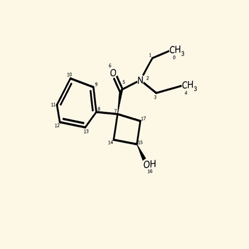 CCN(CC)C(=O)[C@]1(c2ccccc2)C[C@H](O)C1